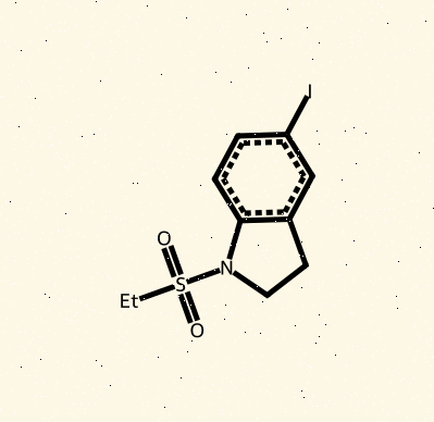 CCS(=O)(=O)N1CCc2cc(I)ccc21